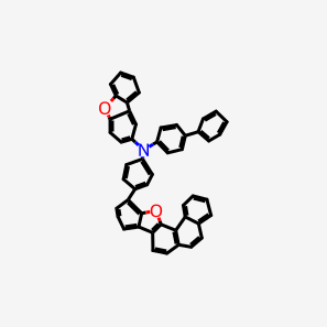 c1ccc(-c2ccc(N(c3ccc(-c4cccc5c4oc4c5ccc5ccc6ccccc6c54)cc3)c3ccc4oc5ccccc5c4c3)cc2)cc1